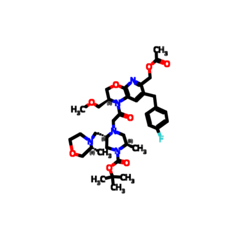 COC[C@H]1COc2nc(COC(C)=O)c(Cc3ccc(F)cc3)cc2N1C(=O)CN1C[C@@H](C)N(C(=O)OC(C)(C)C)C[C@@H]1CN1CCOC[C@H]1C